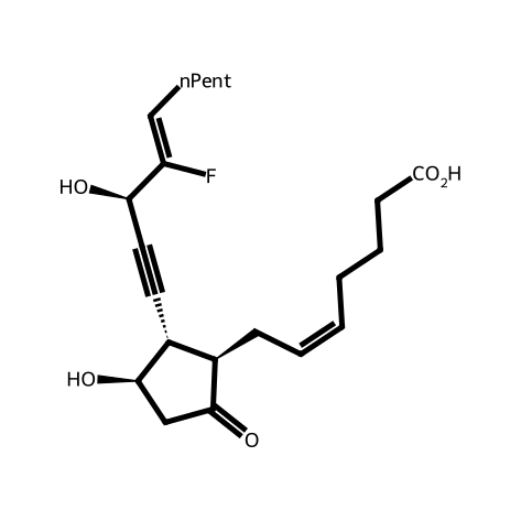 CCCCC/C=C(\F)[C@H](O)C#C[C@H]1[C@H](O)CC(=O)[C@@H]1C/C=C\CCCC(=O)O